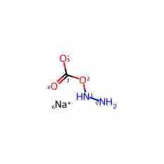 NNOC(=O)[O-].[Na+]